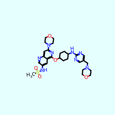 CS(=O)(=O)Nc1cnc2cc(N3CCOCC3)nc(OC3CCC(Nc4ncc(CN5CCOCC5)cn4)CC3)c2c1